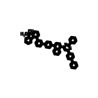 CC1(C)c2ccccc2-c2c(-c3cccc(-c4ccc(-c5ccc(-c6cc(-c7ccc(-c8ccccc8)cc7)nc(-c7ccccc7)n6)c6ccccc56)cc4)c3)cccc21